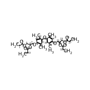 C=CC(=O)OCC(COc1cc(C)c(Oc2cc(C)c(OCC(COC(=O)C=C)OC(=O)C=C)cc2C)cc1C)OC(=O)C=C